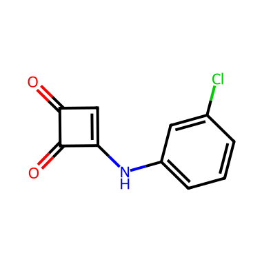 O=c1cc(Nc2cccc(Cl)c2)c1=O